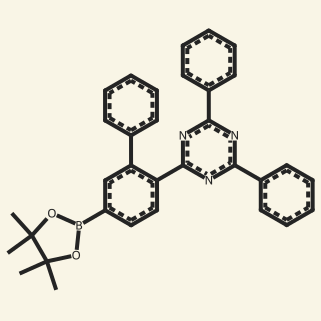 CC1(C)OB(c2ccc(-c3nc(-c4ccccc4)nc(-c4ccccc4)n3)c(-c3ccccc3)c2)OC1(C)C